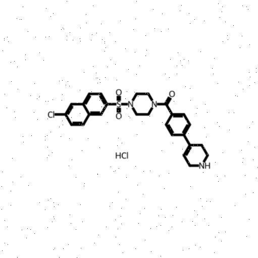 Cl.O=C(c1ccc(C2=CCNCC2)cc1)N1CCN(S(=O)(=O)c2ccc3cc(Cl)ccc3c2)CC1